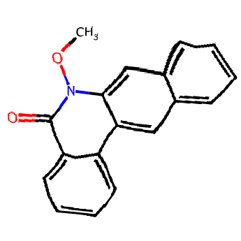 COn1c(=O)c2ccccc2c2cc3ccccc3cc21